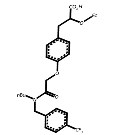 CCCCN(Cc1ccc(C(F)(F)F)cc1)C(=O)COc1ccc(CC(OCC)C(=O)O)cc1